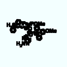 COc1ccc(C(OC[C@H]2O[C@@H](n3cnc4c(N)ncnc43)C[C@@H]2OP(OCC=CC[Si](C)(c2ccccc2)c2ccccc2)N(C(C)C)C(C)C)(c2ccccc2)c2ccc(OC)cc2)cc1